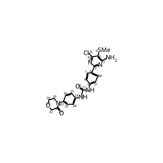 CSc1c(N)nc(-c2ccc(NC(=O)Nc3ccc(N4CCOCC4=O)cc3)cc2)nc1Cl